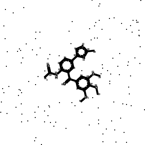 COc1cc(C(=O)c2cc(-c3csc(C)n3)ccc2NC(C)=O)cc(OC)c1OC